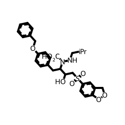 CC(C)CNN(C(=O)O)C(Cc1ccc(OCc2ccccc2)cc1)C(O)CS(=O)(=O)c1ccc2c(c1)COO2